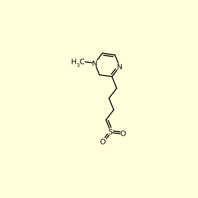 CN1C=CN=C(CCCC=S(=O)=O)C1